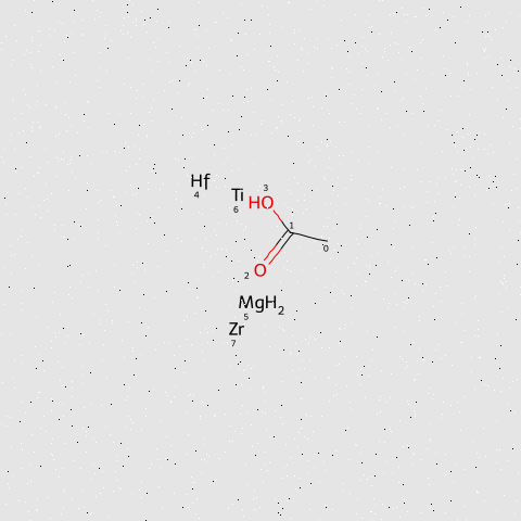 CC(=O)O.[Hf].[MgH2].[Ti].[Zr]